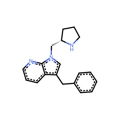 c1ccc(Cc2cn(C[C@@H]3CCCN3)c3ncccc23)cc1